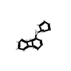 c1ccc(Oc2cccc3c2-c2ccccc2-3)cc1